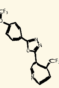 FC(F)(F)Oc1ccc(-c2nnc(-c3cnccc3C(F)(F)F)o2)cc1